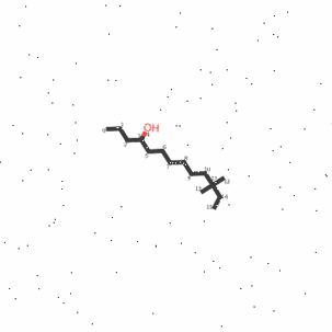 CCCC(O)CCCCCCC(C)(C)CC